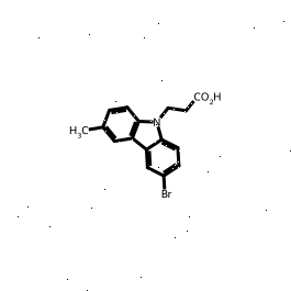 Cc1ccc2c(c1)c1cc(Br)ccc1n2CCC(=O)O